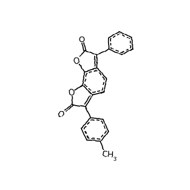 Cc1ccc(C2=c3ccc4c(c3OC2=O)OC(=O)C=4c2ccccc2)cc1